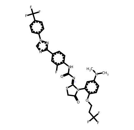 CN(C)c1ccc(OCCC(F)(F)F)c(N2C(=O)CS/C2=N\C(=O)Nc2ccc(-c3ncn(-c4ccc(C(F)(F)F)cc4)n3)cc2F)c1